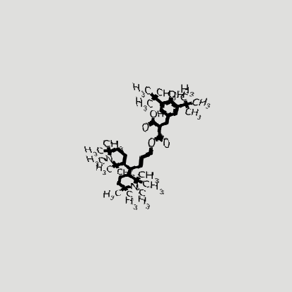 CN1C(C)(C)CCC(C(CCCOC(=O)C(Cc2cc(C(C)(C)C)c(O)c(C(C)(C)C)c2)C(=O)O)C2CCC(C)(C)N(C)C2(C)C)C1(C)C